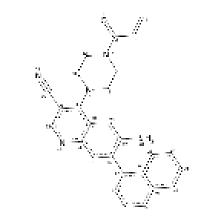 C=CC(=O)N1CCN(c2c(C#N)cnc3cc(-c4cccc5ccccc45)c([SiH3])cc23)CC1